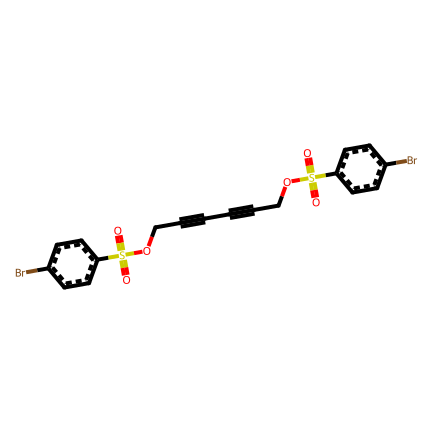 O=S(=O)(OCC#CC#CCOS(=O)(=O)c1ccc(Br)cc1)c1ccc(Br)cc1